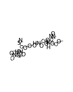 CCCOc1cccc(Oc2cc3c(cc2NS(=O)(=O)c2cccc(C(=O)NCCOCCOCCOc4cc(-c5scnc5C)ccc4CNC(=O)[C@@H]4CCCN4C(=O)C(C(C)C)N4Cc5ccccc5C4=O)c2)n(C)c(=O)n3C)c1